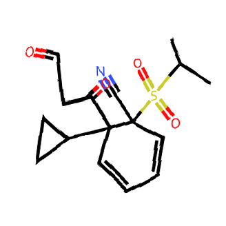 CC(C)S(=O)(=O)C1(C#N)C=CC=CC1(C(=O)CC=O)C1CC1